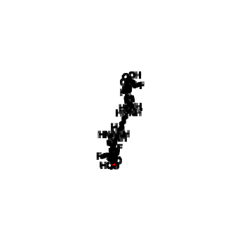 N=C(NCCCCCCNC(=N)NC(=N)N1CCN(c2cc3c(cc2F)c(=O)c(C(=O)O)cn3CCF)CC1)NC(=N)N1CCN(c2cc3c(cc2F)c(=O)c(C(=O)O)cn3CCF)CC1